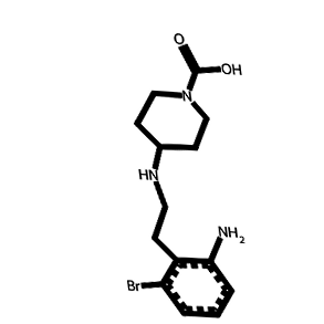 Nc1cccc(Br)c1CCNC1CCN(C(=O)O)CC1